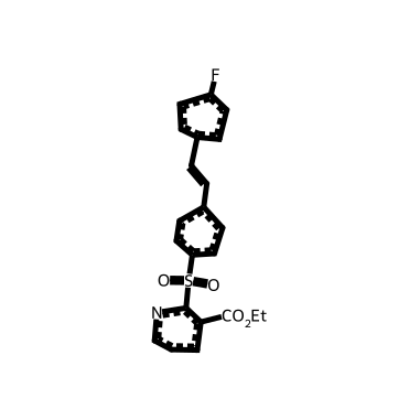 CCOC(=O)c1cccnc1S(=O)(=O)c1ccc(/C=C/c2ccc(F)cc2)cc1